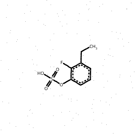 CCc1cccc(OS(=O)(=O)O)c1F